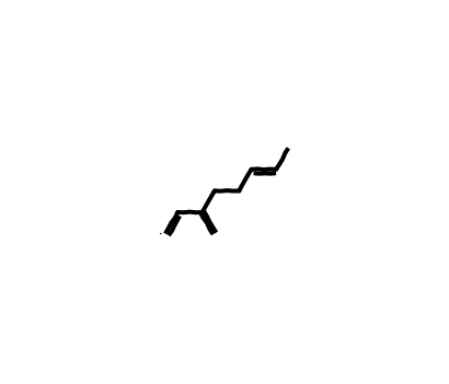 [CH]=CC(=C)CCC=CC